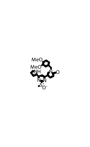 COc1ccc(Cn2cc(-c3cc(-c4ccc[nH]4)nc([S+](C)[O-])n3)ccc2=O)cc1OC